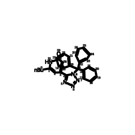 CCCCc1cc(-c2nnnn2C(c2ccccc2)(c2ccccc2)c2ccccc2)cc(=O)[nH]1